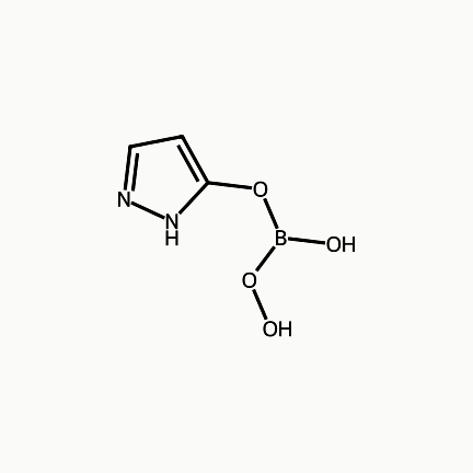 OOB(O)Oc1ccn[nH]1